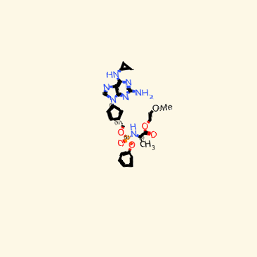 COCCOC(=O)[C@H](C)N[P@](=O)(OC[C@@H]1C=C[C@H](n2cnc3c(NC4CC4)nc(N)nc32)C1)Oc1ccccc1